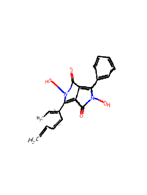 C=C/C=C\C(=C/C)C1=C2C(=O)N(O)C(c3ccccc3)=C2C(=O)N1O